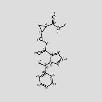 COC(=O)C1CC1OCC(=O)c1cncn1[C@H](C)c1ccccc1